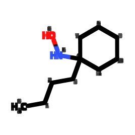 CCCCC1(NO)CCCCC1